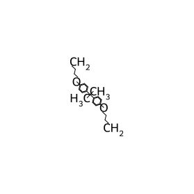 C=CCCCOc1ccc(C(C)(C)c2ccc(OCCCC=C)cc2)cc1